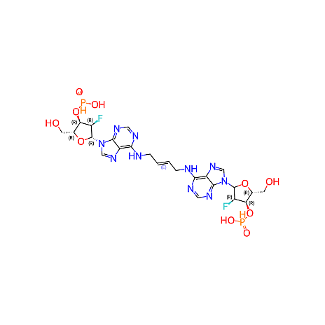 O=[PH](O)O[C@@H]1[C@@H](CO)OC(n2cnc3c(NC/C=C/CNc4ncnc5c4ncn5[C@@H]4O[C@H](CO)[C@@H](O[PH](=O)O)[C@H]4F)ncnc32)[C@@H]1F